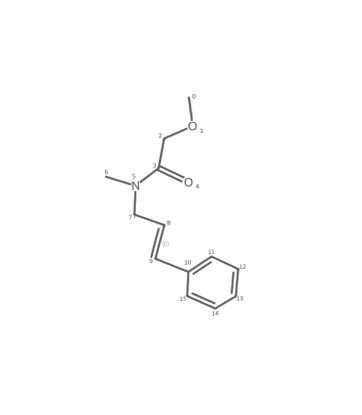 COCC(=O)N(C)[CH]/C=C/c1ccccc1